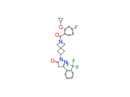 O=C(c1ccc(F)cc1OC1CC1)N1CC2(CC(N3N=C(c4ccccc4C(F)(F)F)CC3=O)C2)C1